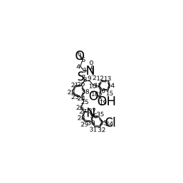 CN(C)C(CC=O)SC(CCc1ccccc1C(=O)O)c1cccc(CCc2ccc3ccc(Cl)cc3n2)c1